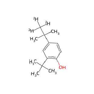 [2H]C([2H])([2H])C(C)(C)c1ccc(O)c(C(C)(C)C)c1